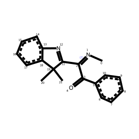 C/N=C(\C(=O)c1ccccc1)C1=Nc2ccccc2C1(C)C